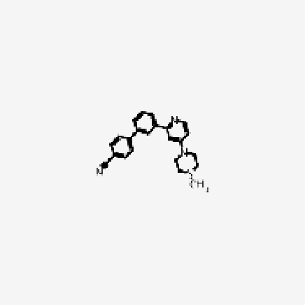 CN1CCN(c2ccnc(-c3cccc(-c4ccc(C#N)cc4)c3)c2)CC1